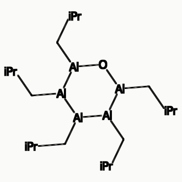 CC(C)[CH2][Al]1[O][Al]([CH2]C(C)C)[Al]([CH2]C(C)C)[Al]([CH2]C(C)C)[Al]1[CH2]C(C)C